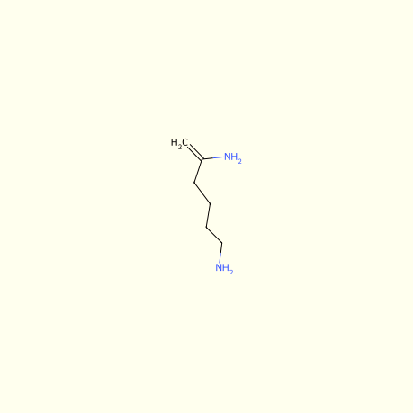 C=C(N)CCCCN